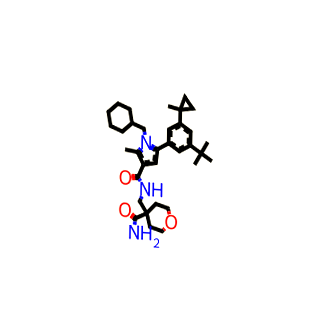 Cc1c(C(=O)NCC2(C(N)=O)CCOCC2)cc(-c2cc(C(C)(C)C)cc(C3(C)CC3)c2)n1CC1CCCCC1